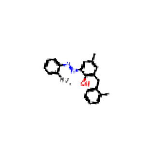 Cc1cc(Cc2ccccc2C)c(O)c(/N=N/c2ccccc2[N+](=O)[O-])c1